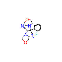 N#CC(N1CCOCC1)C(C#N)(c1ccccc1F)N1CCOCC1